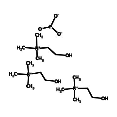 C[N+](C)(C)CCO.C[N+](C)(C)CCO.C[N+](C)(C)CCO.[O-]P([O-])[O-]